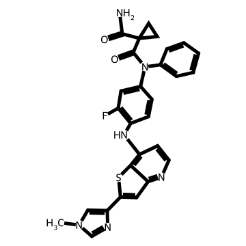 Cn1cnc(-c2cc3nccc(Nc4ccc(N(C(=O)C5(C(N)=O)CC5)c5ccccc5)cc4F)c3s2)c1